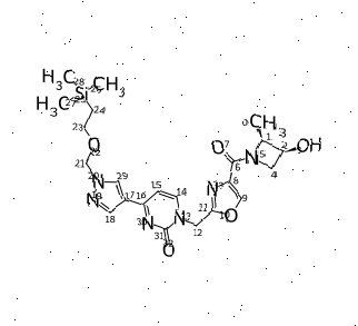 C[C@H]1[C@@H](O)CN1C(=O)c1coc(Cn2ccc(-c3cnn(COCC[Si](C)(C)C)c3)nc2=O)n1